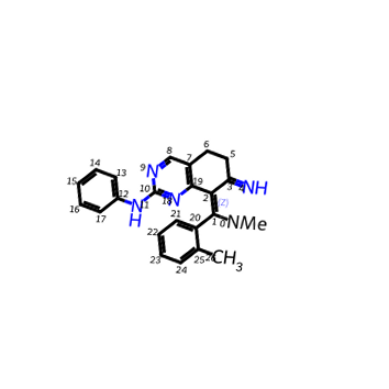 CN/C(=C1\C(=N)CCc2cnc(Nc3ccccc3)nc21)c1ccccc1C